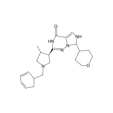 CC1CN(CC2C=CC=CC2)C[C@@H]1C1=NN2C(=CNC2C2CCOCC2)C(=O)N1